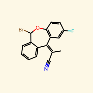 C/C(C#N)=C1\c2cc(F)ccc2OC(Br)c2ccccc21